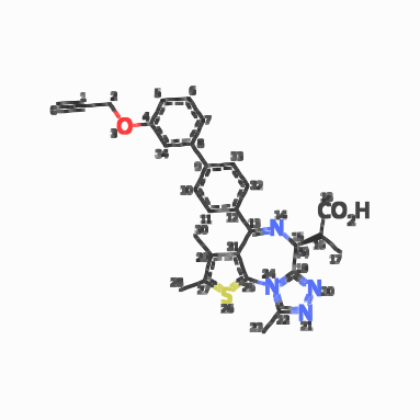 C#CCOc1cccc(-c2ccc(C3=N[C@@H](C(C)C(=O)O)c4nnc(C)n4-c4sc(C)c(C)c43)cc2)c1